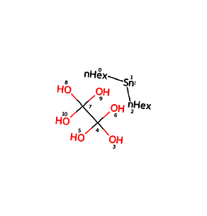 CCCCC[CH2][Sn][CH2]CCCCC.OC(O)(O)C(O)(O)O